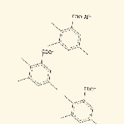 Cc1cc(C)c(C)c(C(=O)[O-])c1.Cc1cc(C)c(C)c(C(=O)[O-])c1.Cc1cc(C)c(C)c(C(=O)[O-])c1.[Al+3]